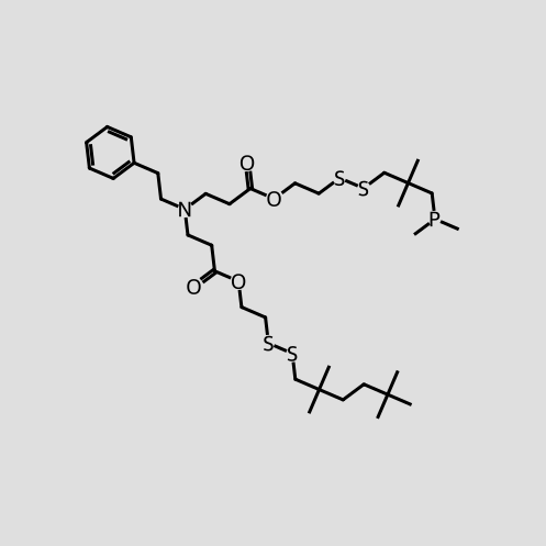 CP(C)CC(C)(C)CSSCCOC(=O)CCN(CCC(=O)OCCSSCC(C)(C)CCC(C)(C)C)CCc1ccccc1